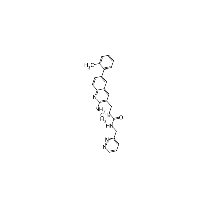 Cc1ccccc1-c1ccc2nc(N)c(C[C@@H](C)C(=O)NCc3cccnn3)cc2c1